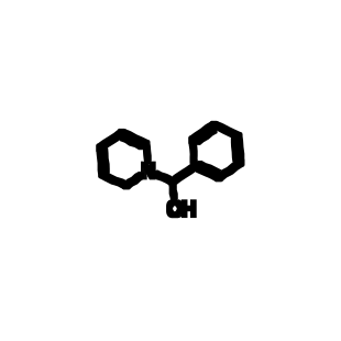 OC(c1ccccc1)N1C=CC=CC1